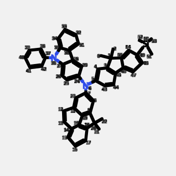 CC1(C)c2cc(N(c3cc4c5c(ccc6cccc(c65)C4(C)C)c3)c3ccc4c(c3)c3ccccc3n4-c3ccccc3)ccc2-c2ccc([Si](C)(C)C)cc21